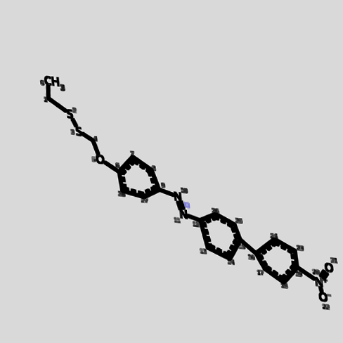 CCSSCOc1ccc(/N=N/c2ccc(-c3ccc([N+](=O)[O-])cc3)cc2)cc1